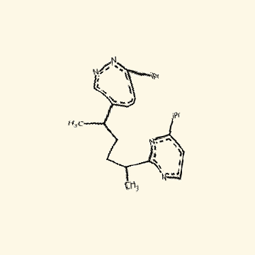 CC(C)c1cc(C(C)CCC(C)c2nccc(C(C)C)n2)cnn1